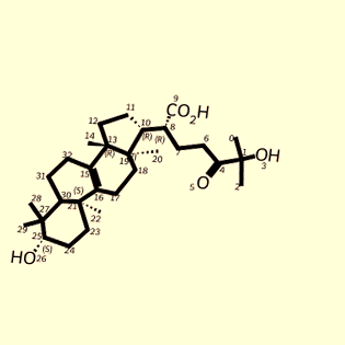 CC(C)(O)C(=O)CC[C@@H](C(=O)O)[C@H]1CC[C@@]2(C)C3=C(CC[C@]12C)[C@@]1(C)CC[C@H](O)C(C)(C)C1CC3